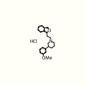 COc1cccc(C2CCCN(CCc3occ4ccccc34)C2)c1.Cl